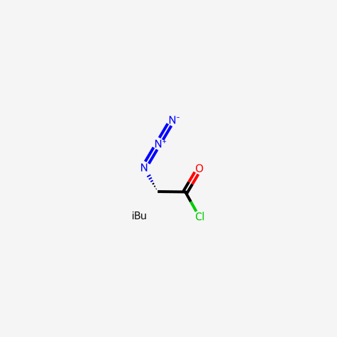 CC[C@H](C)[C@H](N=[N+]=[N-])C(=O)Cl